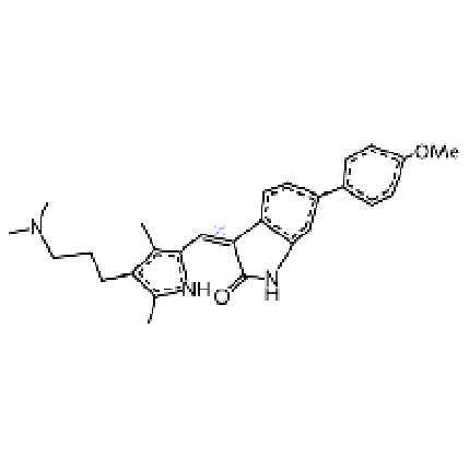 COc1ccc(-c2ccc3c(c2)NC(=O)/C3=C\c2[nH]c(C)c(CCCN(C)C)c2C)cc1